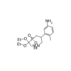 CCOC(C)(OCC)P(=O)(CC(CN)c1cc(N)ccc1C)OCC